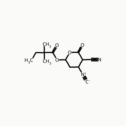 [C-]#[N+]C1CC(OC(=O)C(C)(C)CC)OC(=O)C1C#N